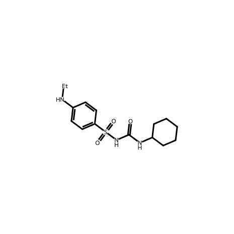 CCNc1ccc(S(=O)(=O)NC(=O)NC2CCCCC2)cc1